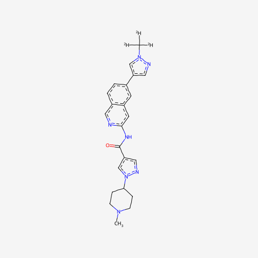 [2H]C([2H])([2H])n1cc(-c2ccc3cnc(NC(=O)c4cnn(C5CCN(C)CC5)c4)cc3c2)cn1